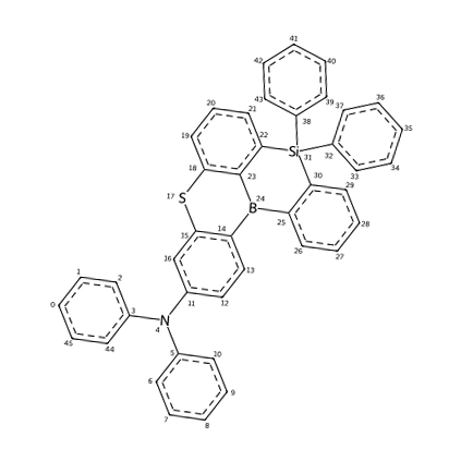 c1ccc(N(c2ccccc2)c2ccc3c(c2)Sc2cccc4c2B3c2ccccc2[Si]4(c2ccccc2)c2ccccc2)cc1